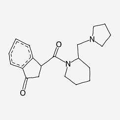 O=C1CC(C(=O)N2CCCCC2CN2CCCC2)c2ccccc21